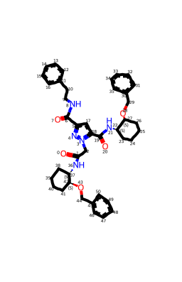 O=C(Cn1nc(C(=O)NCCc2ccccc2)cc1C(=O)N[C@H]1CCCC[C@@H]1OCc1ccccc1)N[C@H]1CCCC[C@@H]1OCc1ccccc1